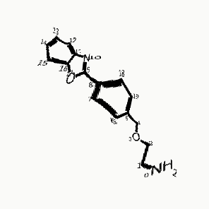 NCCOCc1ccc(-c2nc3ccccc3o2)cc1